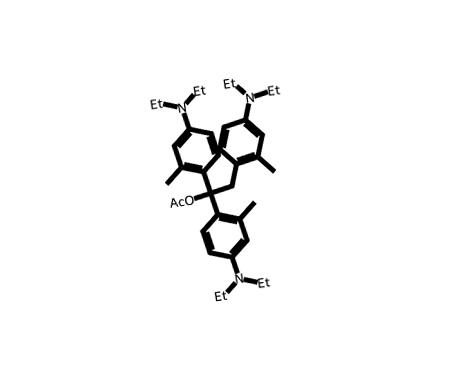 CCN(CC)c1ccc(CC(OC(C)=O)(c2ccc(N(CC)CC)cc2C)c2ccc(N(CC)CC)cc2C)c(C)c1